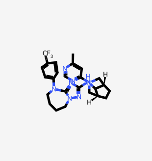 Cc1cc(N2C[C@H]3CC[C@@H](C2)C3Nc2nc3n(n2)CCCCN3c2ccc(C(F)(F)F)cc2)ncn1